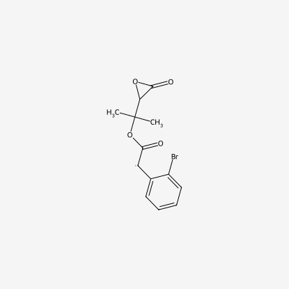 CC(C)(OC(=O)[CH]c1ccccc1Br)C1OC1=O